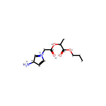 CCCOC(=O)C(C)OC(=O)C[N+]1=CC(N)C=C1